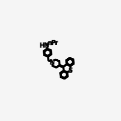 CCCNc1ccc(CN2CCC(=C3c4ccccc4Sc4ccccc43)CC2)cc1